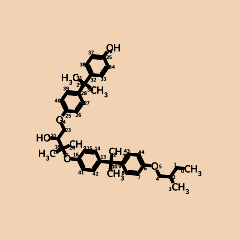 CCC(C)COc1ccc(C(C)(C)c2ccc(OC(C)(C)C(O)COc3ccc(C(C)(C)c4ccc(O)cc4)cc3)cc2)cc1